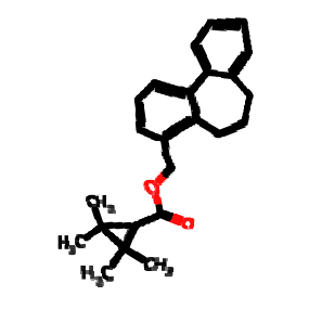 CC1(C)C(C(=O)OCc2cccc3c2CCCc2ccccc2-3)C1(C)C